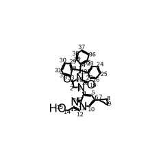 O=C1CN(c2cc(C3CC3)cn3cc(CO)nc23)C(=O)N1C(c1ccccc1)(c1ccccc1)c1ccccc1